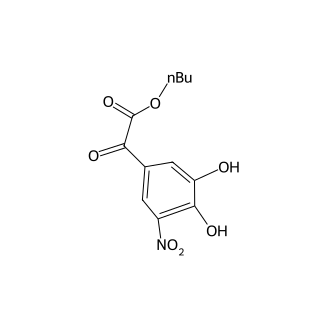 CCCCOC(=O)C(=O)c1cc(O)c(O)c([N+](=O)[O-])c1